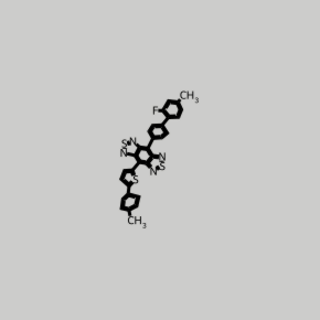 Cc1ccc(-c2ccc(-c3c4c(c(-c5ccc(-c6ccc(C)cc6F)cc5)c5nsnc35)N=S=N4)s2)cc1